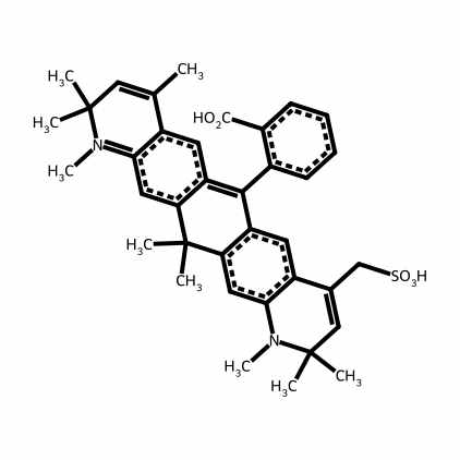 CC1=CC(C)(C)[N+](C)=c2cc3c(cc21)=C(c1ccccc1C(=O)O)c1cc2c(cc1C3(C)C)N(C)C(C)(C)C=C2CS(=O)(=O)O